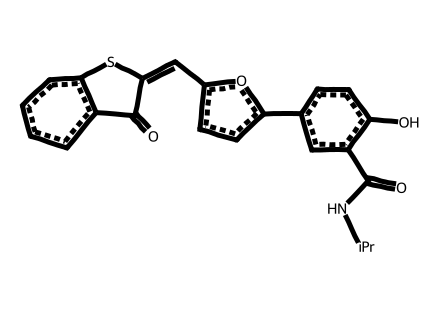 CC(C)NC(=O)c1cc(-c2ccc(C=C3Sc4ccccc4C3=O)o2)ccc1O